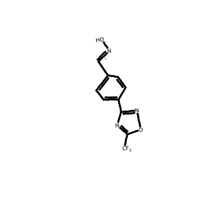 O/N=C/c1ccc(-c2noc(C(F)(F)F)n2)cc1